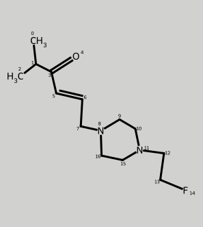 CC(C)C(=O)/C=C/CN1CCN(CCF)CC1